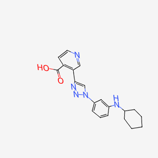 O=C(O)c1ccncc1-c1cn(-c2cccc(NC3CCCCC3)c2)nn1